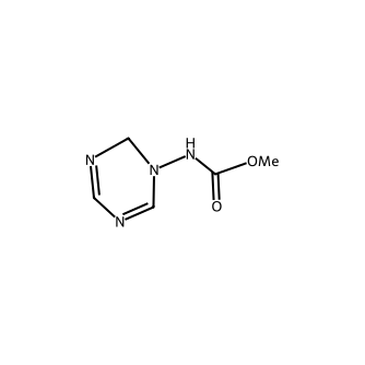 COC(=O)NN1C=NC=NC1